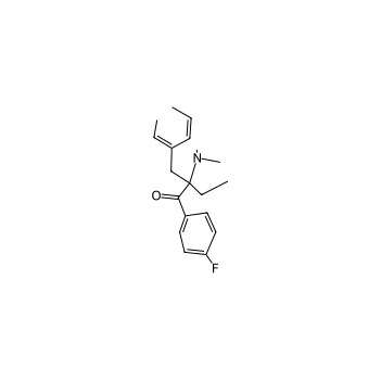 C/C=C\C(=C/C)CC(CC)(C(=O)c1ccc(F)cc1)N(C)C